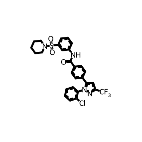 O=C(Nc1cccc(S(=O)(=O)N2CCCCC2)c1)c1ccc(-c2cc(C(F)(F)F)nn2-c2ccccc2Cl)cc1